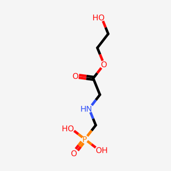 O=C(CNCP(=O)(O)O)OCCO